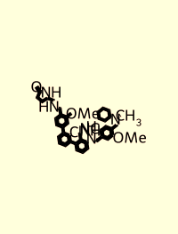 COc1cc(-c2cccc(-c3cccc(NCc4cc(OC)c(CN(C)C5CCCCC5)cc4C#N)c3C=N)c2Cl)ccc1CNCC1CCC(=O)N1